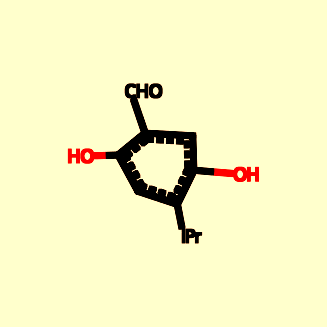 CC(C)c1cc(O)c(C=O)cc1O